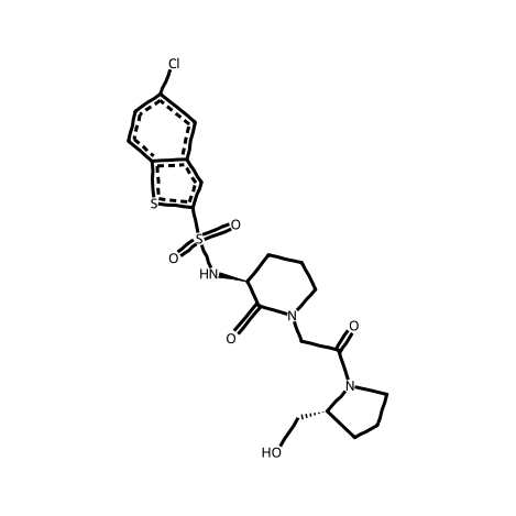 O=C1[C@@H](NS(=O)(=O)c2cc3cc(Cl)ccc3s2)CCCN1CC(=O)N1CCC[C@@H]1CO